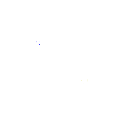 N#CCCS